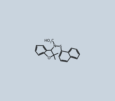 CC1(C)Oc2ccccc2C1N(Sc1cccc2ccccc12)C(=O)O